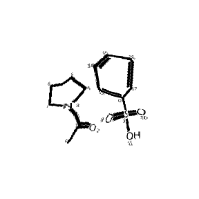 CC(=O)N1CCCC1.O=S(=O)(O)c1ccccc1